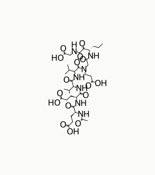 CCC[C@H](NC(=O)CN(CCC(=O)O)C(=O)[C@@H](NC(=O)[C@@H](NC(=O)[C@H](CCC(=O)O)NC(=O)[C@H](CCC(=O)O)NC(C)=O)C(C)C)C(C)C)C(=O)C(=O)NCC(=O)O